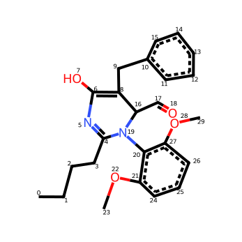 CCCCC1=NC(O)=C(Cc2ccccc2)C(C=O)N1c1c(OC)cccc1OC